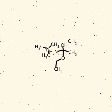 CCOC(C)(N)O.CN(C)C.O